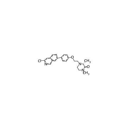 C[C@@H]1C(=O)N(C)CCN1CCOc1ccc(-c2ccc3cc(Cl)ncc3c2)cc1